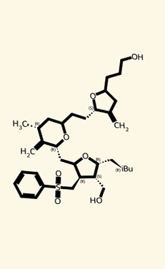 C=C1CC(CCCO)O[C@H]1CCC1C[C@@H](C)C(=C)[C@@H](CC2O[C@H](C[C@H](C)CC)[C@H](CO)[C@H]2CS(=O)(=O)c2ccccc2)O1